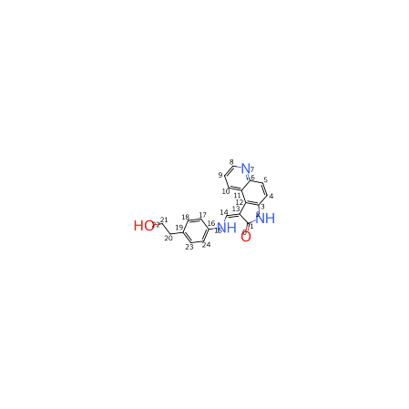 O=C1Nc2ccc3ncccc3c2/C1=C/Nc1ccc(CCO)cc1